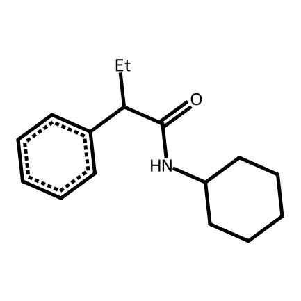 CCC(C(=O)NC1CCCCC1)c1ccccc1